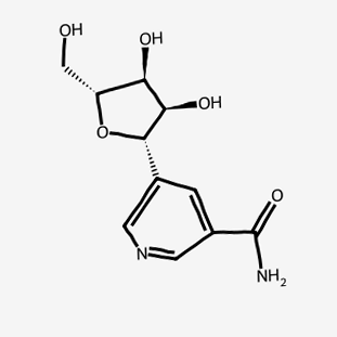 NC(=O)c1cncc([C@@H]2O[C@H](CO)[C@@H](O)[C@H]2O)c1